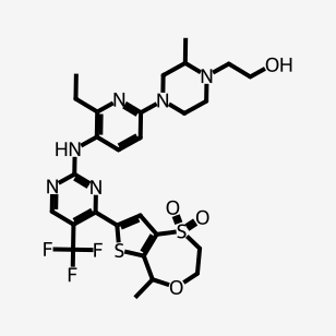 CCc1nc(N2CCN(CCO)C(C)C2)ccc1Nc1ncc(C(F)(F)F)c(-c2cc3c(s2)C(C)OCCS3(=O)=O)n1